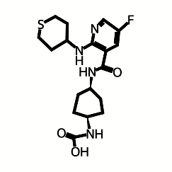 O=C(O)N[C@H]1CC[C@@H](NC(=O)c2cc(F)cnc2NC2CCSCC2)CC1